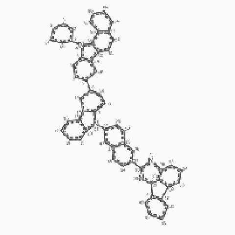 c1ccc(-n2c3ccc(-c4ccc5c(c4)c4ccccc4n5-c4ccc5cc(-c6nc7c8c(cccc8n6)-c6ccccc6-7)ccc5c4)cc3c3ccc4ccccc4c32)cc1